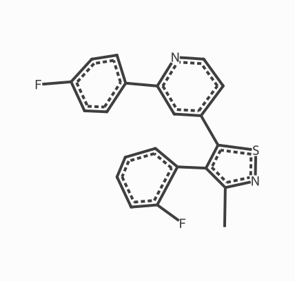 Cc1nsc(-c2ccnc(-c3ccc(F)cc3)c2)c1-c1ccccc1F